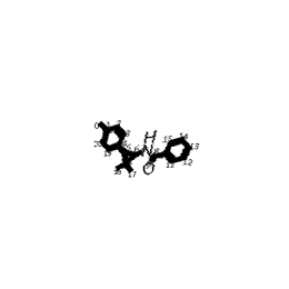 Cc1ccc(C2C(NC(=O)c3ccccc3)C2(C)C)cc1